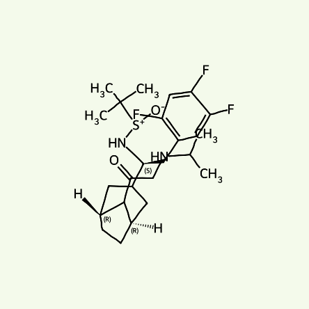 CC(C)NCC(=O)C1[C@@H]2CC[C@@H]1CC([C@H](Cc1cc(F)c(F)cc1F)N[S+]([O-])C(C)(C)C)C2